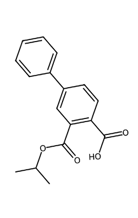 CC(C)OC(=O)c1cc(-c2ccccc2)ccc1C(=O)O